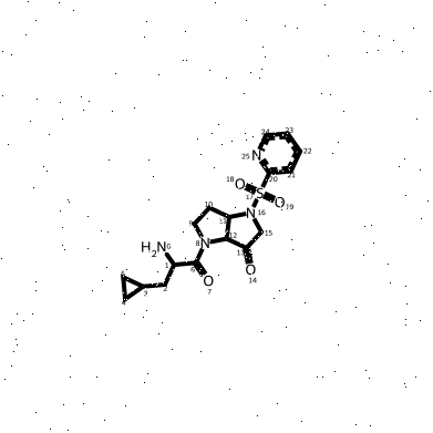 NC(CC1CC1)C(=O)N1CCC2C1C(=O)CN2S(=O)(=O)c1ccccn1